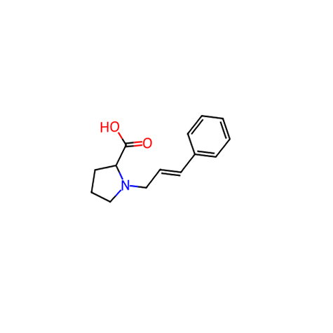 O=C(O)C1CCCN1CC=Cc1ccccc1